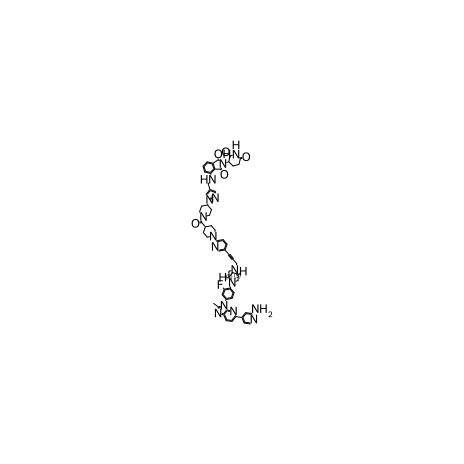 Cc1nc2ccc(-c3ccnc(N)c3)nc2n1-c1ccc(N2C[C@@H]3C[C@H]2CN3CC#Cc2ccc(N3CCC(C(=O)N4CCC(n5cc(CNc6cccc7c6C(=O)N(C6CCC(=O)NC6=O)C7O)cn5)CC4)CC3)nc2)c(F)c1